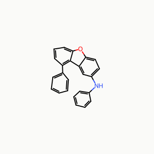 c1ccc(Nc2ccc3oc4cccc(-c5ccccc5)c4c3c2)cc1